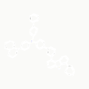 C1=CCC(c2cccc3c2sc2cccc(-c4cccc(-c5ccc(N(c6ccc(-c7ccccc7)cc6)c6ccc(-c7cccc8ccccc78)cc6)cc5)c4)c23)C=C1